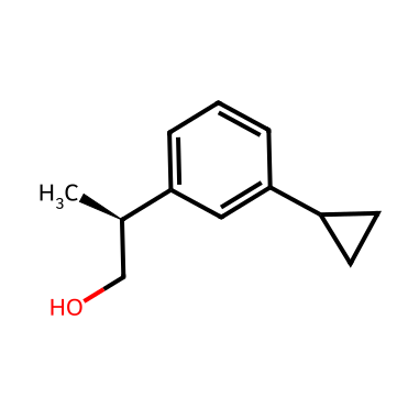 C[C@H](CO)c1cccc(C2CC2)c1